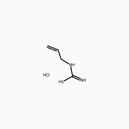 C=CCNC(=N)S.Cl